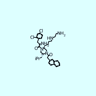 CC(C)C[C@@H]1CN(C(=O)[C@H](N)Cc2ccc(Cl)cc2Cl)[C@@H](CCCCNCCN)CN1C(=O)Cc1ccc2ccccc2c1